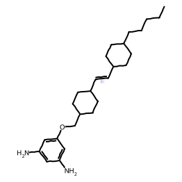 CCCCCC1CCC(/C=C/C2CCC(COc3cc(N)cc(N)c3)CC2)CC1